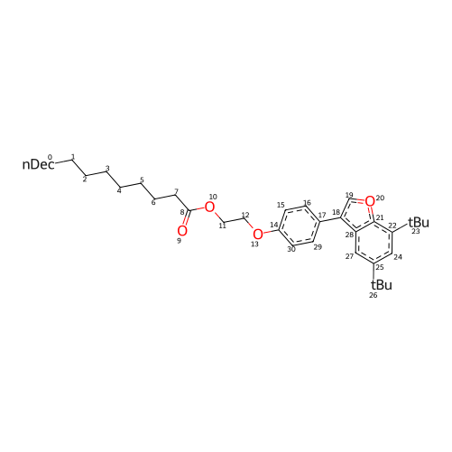 CCCCCCCCCCCCCCCCCC(=O)OCCOc1ccc(-c2coc3c(C(C)(C)C)cc(C(C)(C)C)cc23)cc1